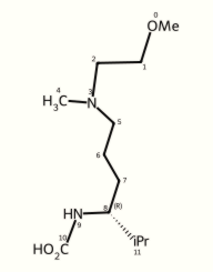 COCCN(C)CCC[C@@H](NC(=O)O)C(C)C